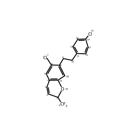 FC(F)(F)C1C=Cc2cc(Cl)c(CCc3ccc(Cl)cc3)cc2O1